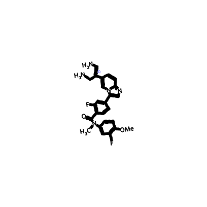 COc1ccc(N(C)C(=O)c2ccc(-c3cnc4ccc(/C(=C/N)CN)cn34)cc2F)cc1F